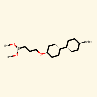 CCCCCC[C@H]1CC[C@H]([C@H]2CC[C@H](OCCC[SiH](OC(C)C)OC(C)C)CC2)CC1